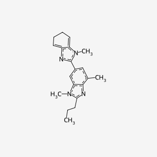 CCCc1nc2c(C)cc(-c3nc4c(n3C)=CCCC=4)cc2n1C